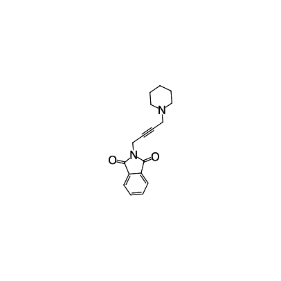 O=C1c2ccccc2C(=O)N1CC#CCN1CCCCC1